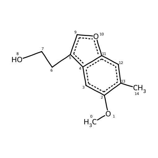 COc1cc2c(CCO)coc2cc1C